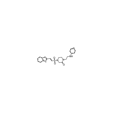 O=C1CN(S(=O)(=O)C=Cc2cc3ccccc3s2)CCN1CCNc1ccncc1